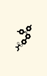 CCC(C)C(=O)Oc1ccc(-c2cccc(N(c3ccc(C)cc3)c3ccc(C)cc3)c2)cc1